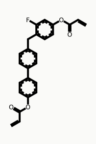 C=CC(=O)Oc1ccc(-c2ccc(Cc3ccc(OC(=O)C=C)cc3F)cc2)cc1